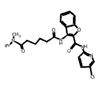 CC(C)N(C)C(=O)CCCCC(=O)Nc1c(C(=O)Nc2ccc(Cl)cn2)oc2ccccc12